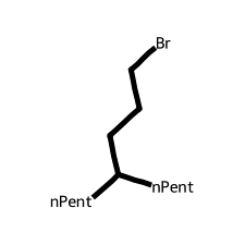 CCCCCC(CCCBr)CCCCC